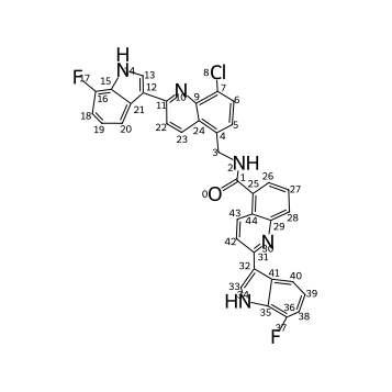 O=C(NCc1ccc(Cl)c2nc(-c3c[nH]c4c(F)cccc34)ccc12)c1cccc2nc(-c3c[nH]c4c(F)cccc34)ccc12